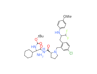 COc1ccc(NC(Cc2ccc(Cl)cc2CN2CCC[C@H]2C(=O)NC(=O)[C@](N)(NC(=O)OC(C)(C)C)C2CCCCC2)C(F)F)cc1